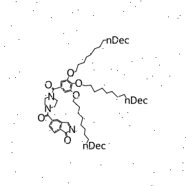 CCCCCCCCCCCCCCCCCCOc1cc(C(=O)N2CCN(C(=O)c3ccc4c(c3)C=NC4=O)CC2)cc(OCCCCCCCCCCCCCCCCCC)c1OCCCCCCCCCCCCCCCCCC